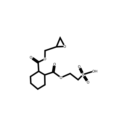 O=C(OCCS(=O)(=O)O)C1CCCCC1C(=O)OCC1CO1